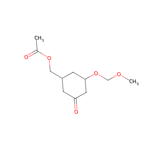 COCOC1CC(=O)CC(COC(C)=O)C1